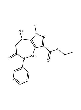 CCOC(=O)c1nn(C)c2c1NN(c1ccccc1)C(=O)CC2N